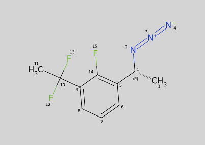 C[C@@H](N=[N+]=[N-])c1cccc(C(C)(F)F)c1F